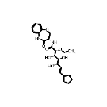 CCO[C@@H](C(=O)N[C@H]1COc2ccccc2NC1=O)[C@H](O)[C@@H](O)[C@H](O)C=CC1CCCC1